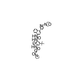 COc1c(NC(=O)Nc2ccc(-c3ccc(CN4CCOCC4)nc3)c3ccccc23)cc(C(C)(C)C)cc1NC(=O)OCC(=O)N1CCCC1